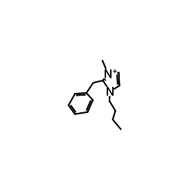 CCCCn1cc[n+](C)c1Cc1ccccc1